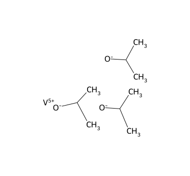 CC(C)[O-].CC(C)[O-].CC(C)[O-].[V+5]